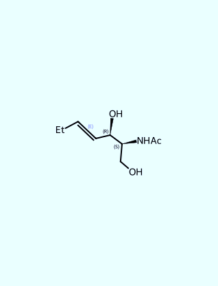 CC/C=C/[C@@H](O)[C@H](CO)NC(C)=O